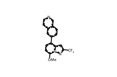 COc1ccc(-c2ccc3cnccc3c2)c2cc(C(F)(F)F)nn12